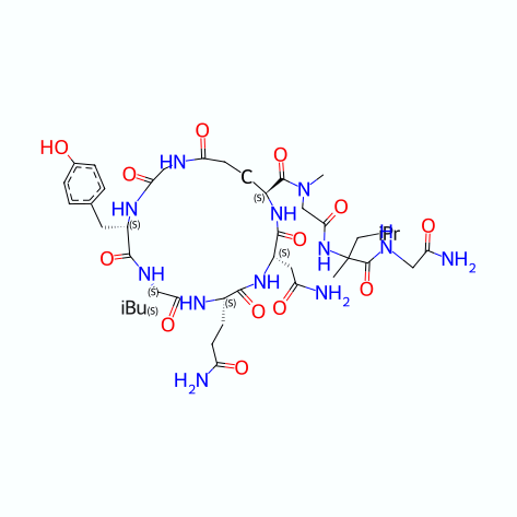 CC[C@H](C)[C@@H]1NC(=O)[C@H](Cc2ccc(O)cc2)NC(=O)CNC(=O)CC[C@@H](C(=O)N(C)CC(=O)NC(C)(CC(C)C)C(=O)NCC(N)=O)NC(=O)[C@H](CC(N)=O)NC(=O)[C@H](CCC(N)=O)NC1=O